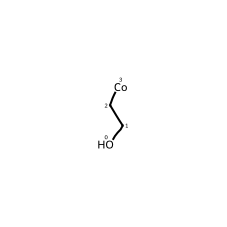 OC[CH2][Co]